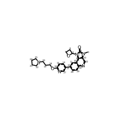 Cn1c(=O)n(C2CCO2)c2c3cc(-c4ccc(OCCCN5CCCC5)nc4)ccc3ncc21